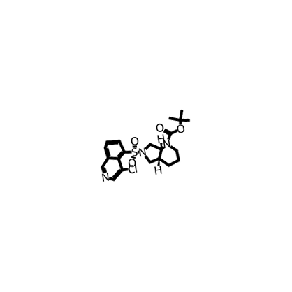 CC(C)(C)OC(=O)N1CCC[C@@H]2CN(S(=O)(=O)c3cccc4cncc(Cl)c34)C[C@@H]21